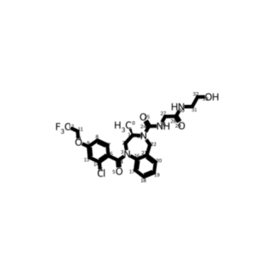 C[C@@H]1CN(C(=O)c2ccc(OCC(F)(F)F)cc2Cl)c2ccccc2CN1C(=O)NCC(=O)NCCO